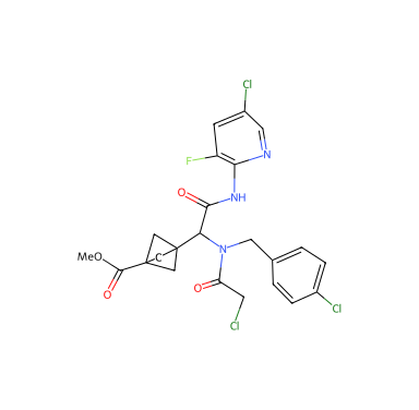 COC(=O)C12CC(C(C(=O)Nc3ncc(Cl)cc3F)N(Cc3ccc(Cl)cc3)C(=O)CCl)(C1)C2